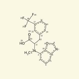 CN(c1cccc2ncoc12)C(Cc1cccc(C(F)(F)F)c1)C(=O)O